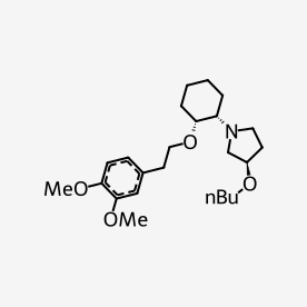 CCCCO[C@@H]1CCN([C@H]2CCCC[C@H]2OCCc2ccc(OC)c(OC)c2)C1